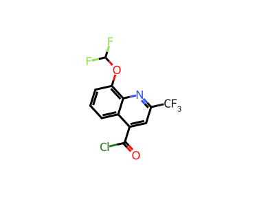 O=C(Cl)c1cc(C(F)(F)F)nc2c(OC(F)F)cccc12